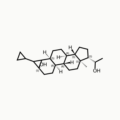 CC(O)[C@H]1CC[C@H]2[C@@H]3CC[C@@H]4C5C(C6CC6)[C@@]5(O)CC[C@@H]4[C@H]3CC[C@]12C